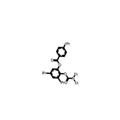 CCCc1ccc(C(=O)Oc2cc(C(C)C)cc(C(C)C)c2OC(=O)N(CC)CC)cc1